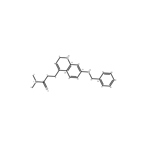 CN(C)C(=O)CCC1=CCOc2cc(OCc3ccccc3)ccc21